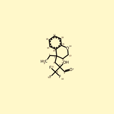 CCC1(CC(O)(C=O)C(F)(F)F)CCOc2ccccc21